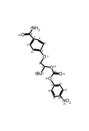 CC(C)(C)C(COc1ccc(C(N)=O)cc1)OC(=O)Oc1ccc([N+](=O)[O-])cc1